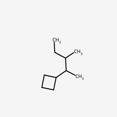 CCC(C)C(C)[C]1CCC1